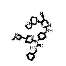 Cn1cc(-c2ccc(N(C(=O)NCc3ccccc3)c3ccc(Nc4ncc(C#N)c(N5CCCC6(CCCO6)C5)n4)cc3)nc2)cn1